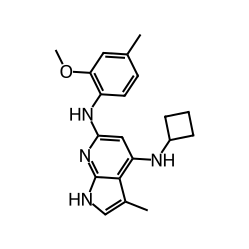 COc1cc(C)ccc1Nc1cc(NC2CCC2)c2c(C)c[nH]c2n1